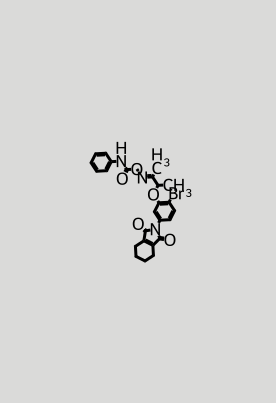 CC(=NOC(=O)Nc1ccccc1)C(C)Oc1cc(N2C(=O)C3=C(CCCC3)C2=O)ccc1Br